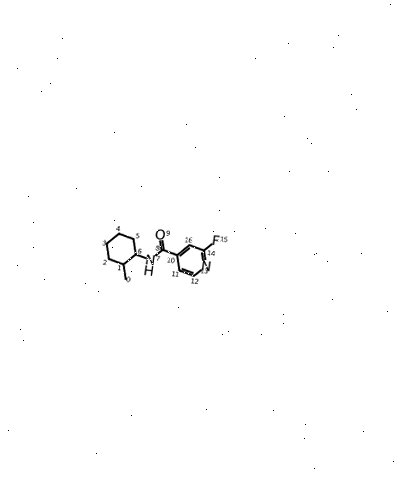 CC1CCCCC1NC(=O)c1ccnc(F)c1